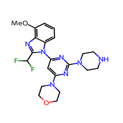 COc1cccc2c1nc(C(F)F)n2-c1cc(N2CCOCC2)nc(N2CCNCC2)n1